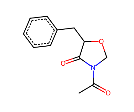 CC(=O)N1COC(Cc2ccccc2)C1=O